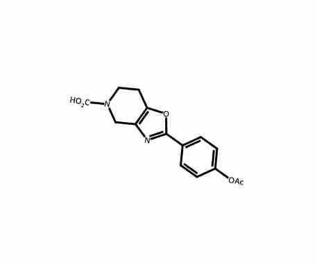 CC(=O)Oc1ccc(-c2nc3c(o2)CCN(C(=O)O)C3)cc1